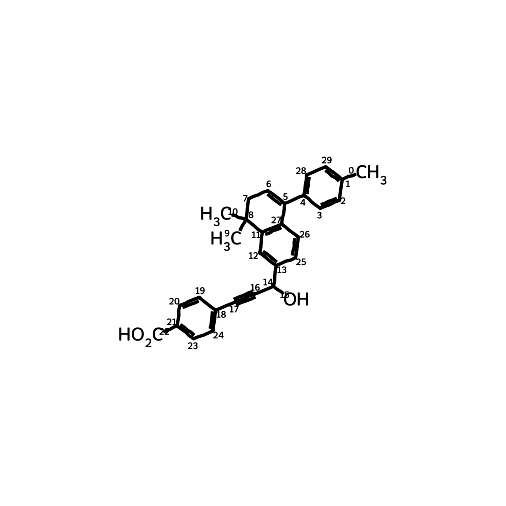 Cc1ccc(C2=CCC(C)(C)c3cc(C(O)C#Cc4ccc(C(=O)O)cc4)ccc32)cc1